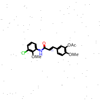 COc1ccc(/C=C/C(=O)Nc2cccc(Cl)c2OC)cc1OC(C)=O